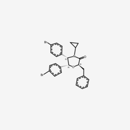 O=C1[C@@H](Cc2ccccc2)O[C@H](c2ccc(Br)cc2)[C@H](c2ccc(Br)cc2)N1C1CC1